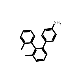 Cc1ccccc1-c1c(C)cccc1-c1ccc(N)cc1